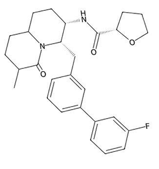 CC1CCC2CC[C@H](NC(=O)[C@@H]3CCCO3)[C@H](Cc3cccc(-c4cccc(F)c4)c3)N2C1=O